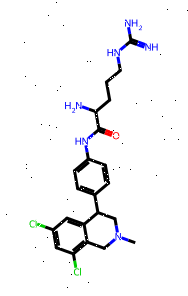 CN1Cc2c(Cl)cc(Cl)cc2C(c2ccc(NC(=O)C(N)CCCNC(=N)N)cc2)C1